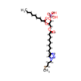 CCCCCCCCC(=O)OC(COC(=O)CCCCCCCc1cn(CCCSC)nn1)COP(=O)(O)O